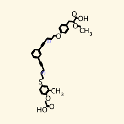 CCOC(Cc1ccc(OC/C=C/C#Cc2cccc(C#C/C=C/CSc3ccc(OCC(=O)O)c(C)c3)c2)cc1)C(=O)O